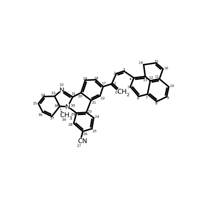 C=C(/C=C\c1ccc2cccc3c2c1CC=C3)c1ccc2c(c1)-c1ccc(C#N)cc1N1C2=NC2C=CC=C[C@@]21C